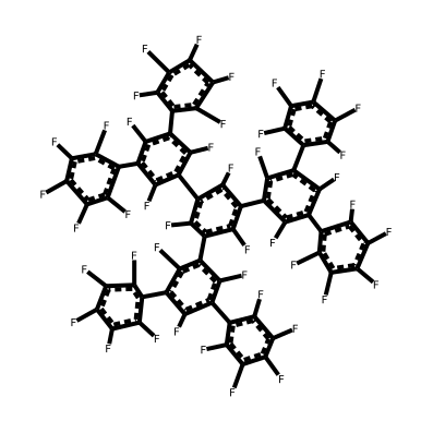 Fc1c(F)c(F)c(-c2c(F)c(-c3c(F)c(F)c(F)c(F)c3F)c(F)c(-c3c(F)c(-c4c(F)c(-c5c(F)c(F)c(F)c(F)c5F)c(F)c(-c5c(F)c(F)c(F)c(F)c5F)c4F)c(F)c(-c4c(F)c(-c5c(F)c(F)c(F)c(F)c5F)c(F)c(-c5c(F)c(F)c(F)c(F)c5F)c4F)c3F)c2F)c(F)c1F